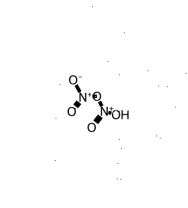 O=[N+]([O-])O[N+](=O)O